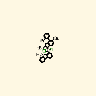 CC(C)c1ccccc1-c1c(C(C)(C)C)ccc2c1C=C(C(C)(C)C)[CH]2[Zr]([Cl])([Cl])[c]1cccc2c1[SiH2]c1ccccc1-2